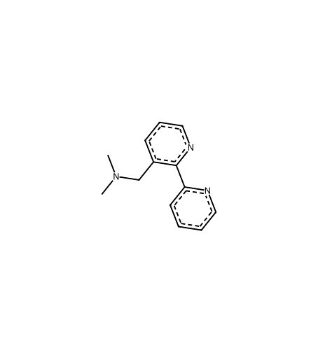 CN(C)Cc1cccnc1-c1ccccn1